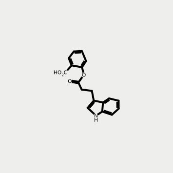 O=C(CCc1c[nH]c2ccccc12)Oc1ccccc1C(=O)O